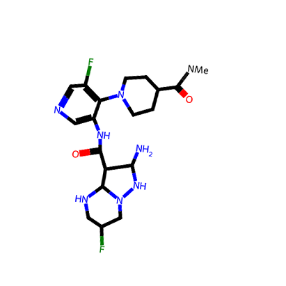 CNC(=O)C1CCN(c2c(F)cncc2NC(=O)C2C(N)NN3CC(F)CNC23)CC1